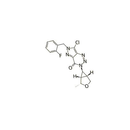 C[C@H]1OC[C@@H]2[C@H]1[C@H]2n1nnc2c(Cl)n(Cc3ccccc3F)nc2c1=O